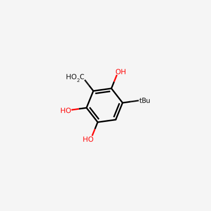 CC(C)(C)c1cc(O)c(O)c(C(=O)O)c1O